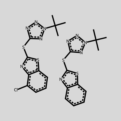 CC(C)(C)n1nnc(Sc2nc3c(Cl)cccc3s2)n1.CC(C)(C)n1nnc(Sc2nc3ccccc3s2)n1